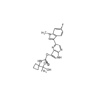 Cn1nc(-c2cnc3[nH]cc(OC(=O)NC4(C(C)(C)O)CCC4)c3n2)c2ccc(F)cc21